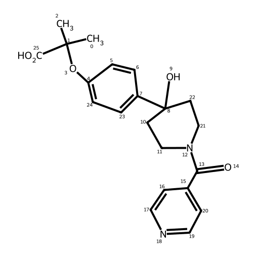 CC(C)(Oc1ccc(C2(O)CCN(C(=O)c3ccncc3)CC2)cc1)C(=O)O